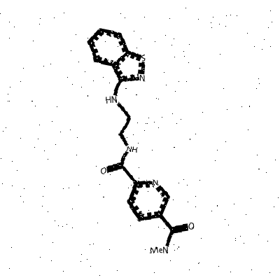 CNC(=O)c1ccc(C(=O)NCCNc2nsc3ccccc23)nc1